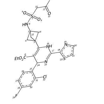 CCOC(=O)C1=C(C23CC(NS(=O)(=O)CC(=O)OC)(C2)C3)NC(c2nccs2)=NC1c1ccc(F)cc1Cl